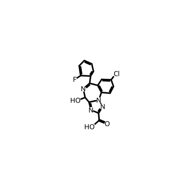 O=C(O)c1nc2n(n1)-c1ccc(Cl)cc1C(c1ccccc1F)=NC2O